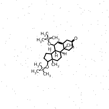 C[C@]12CCC(=O)CC1=CC(O[Si](C)(C)C)[C@@H]1[C@H]2CC[C@]2(C)C(O[Si](C)(C)C)CC[C@@H]12